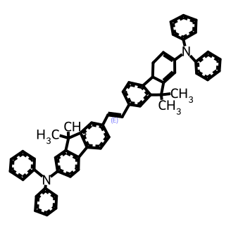 CC1(C)C2=CC(N(c3ccccc3)c3ccccc3)=CCC2c2ccc(/C=C/c3ccc4c(c3)C(C)(C)c3cc(N(c5ccccc5)c5ccccc5)ccc3-4)cc21